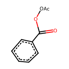 CC(=O)OOC(=O)c1ccccc1